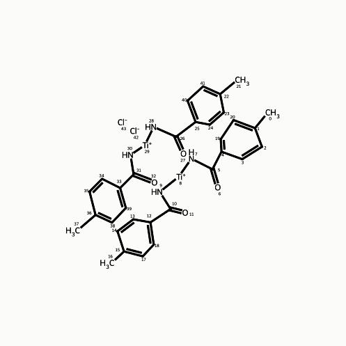 Cc1ccc(C(=O)[NH][Ti+][NH]C(=O)c2ccc(C)cc2)cc1.Cc1ccc(C(=O)[NH][Ti+][NH]C(=O)c2ccc(C)cc2)cc1.[Cl-].[Cl-]